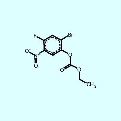 CCOC(=O)Oc1cc([N+](=O)[O-])c(F)cc1Br